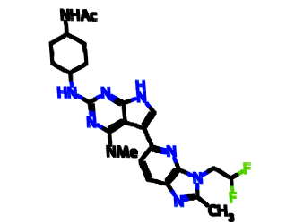 CNc1nc(NC2CCC(NC(C)=O)CC2)nc2[nH]cc(-c3ccc4nc(C)n(CC(F)F)c4n3)c12